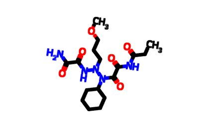 CCC(=O)NC(=O)C(=O)N(C1CCCCC1)N(CCCOC)NC(=O)C(N)=O